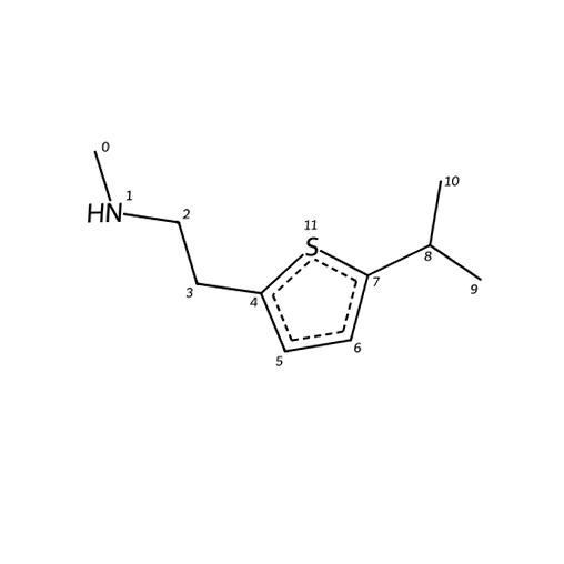 CNCCc1ccc(C(C)C)s1